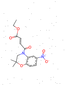 CCOC(=O)C=CC(=O)N1CC(C)(C)Oc2ccc([N+](=O)[O-])cc21